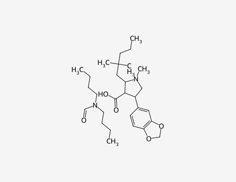 CCCC(C)(C)CC1C(C(=O)O)C(c2ccc3c(c2)OCO3)CN1C.CCCCN(C=O)CCCC